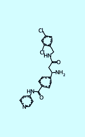 NC(CC(=O)NCc1ccc(Cl)cc1Cl)c1ccc(C(=O)Nc2ccncc2)cc1